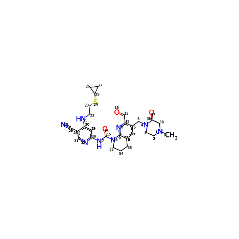 CN1CCN(Cc2cc3c(nc2C=O)N(C(=O)Nc2cc(NCCSC4CC4)c(C#N)cn2)CCC3)C(=O)C1